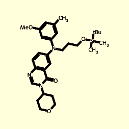 COc1cc(C)cc(N(CCCO[Si](C)(C)C(C)(C)C)c2ccc3ncn(C4CCOCC4)c(=O)c3c2)c1